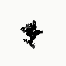 CN(C)C=CC(=O)c1ccc2c(c1-c1ccc(Cl)cc1)c1ccc(=O)n(C)c1n2C